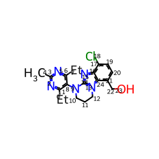 CCc1nc(C)nc(CC)c1N1CCCn2c1nc1c(Cl)ccc(CO)c12